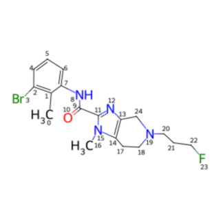 Cc1c(Br)cccc1NC(=O)c1nc2c(n1C)CCN(CCCF)C2